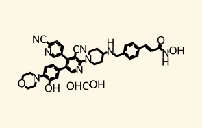 N#Cc1ccc(-c2c(-c3ccc(N4CCOCC4)c(O)c3)cnc(N3CCC(NCc4ccc(/C=C/C(=O)NO)cc4)CC3)c2C#N)cn1.O=CO